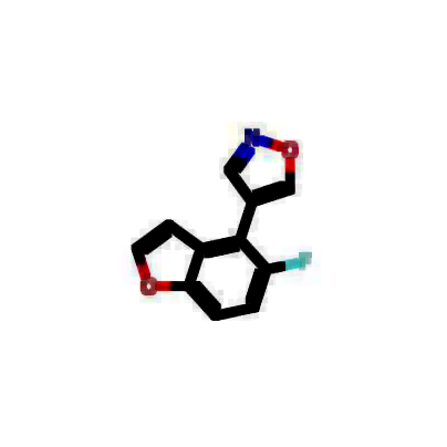 Fc1ccc2occc2c1-c1cnoc1